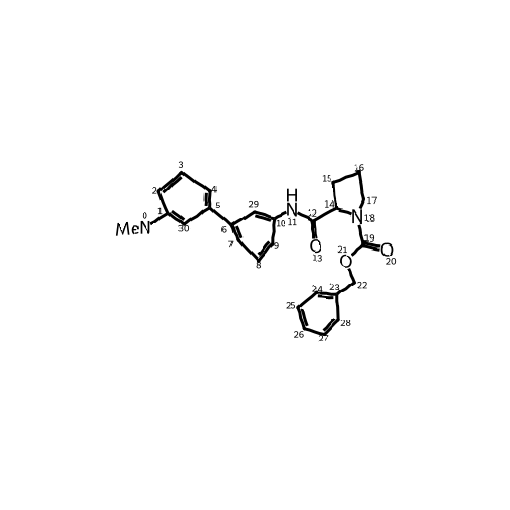 CNc1cccc(-c2cccc(NC(=O)C3CCCN3C(=O)OCc3ccccc3)c2)c1